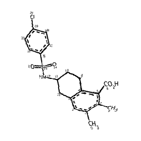 Cc1cc2c(c(C(=O)O)c1C)CCC(NS(=O)(=O)c1ccc(Cl)cc1)C2